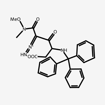 CON(C)C(=O)C(=[N+]=N)C(=O)C(CC(=O)[O-])NC(c1ccccc1)(c1ccccc1)c1ccccc1